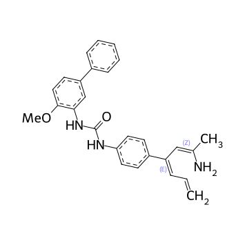 C=C/C=C(\C=C(\C)N)c1ccc(NC(=O)Nc2cc(-c3ccccc3)ccc2OC)cc1